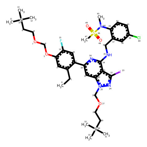 CCc1cc(OCOCC[Si](C)(C)C)c(F)cc1-c1cc2c(c(I)nn2COCC[Si](C)(C)C)c(NCc2cc(Cl)ccc2N(C)S(C)(=O)=O)n1